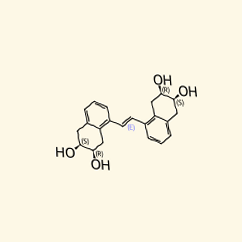 O[C@@H]1Cc2c(/C=C/c3cccc4c3C[C@@H](O)[C@@H](O)C4)cccc2C[C@@H]1O